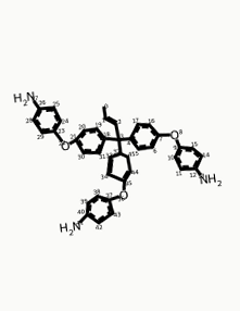 CC=CC(c1ccc(Oc2ccc(N)cc2)cc1)(c1ccc(Oc2ccc(N)cc2)cc1)C1C=CC(Oc2ccc(N)cc2)=CC1